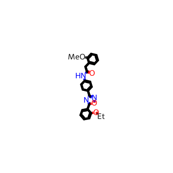 CCOc1ccccc1-c1nc(C2=CC=C(NC(=O)Cc3ccccc3OC)CC2)no1